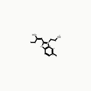 CC/C(O)=C\c1sc2ccc(C)cc2[n+]1CCO